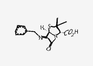 CC1(C)S[C@@H]2/C(=N\Cc3ccccc3)C(=O)N2[C@H]1C(=O)O